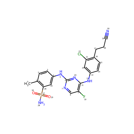 Cc1ccc(Nc2ncc(F)c(Nc3ccc(CCC#N)c(Cl)c3)n2)cc1S(N)(=O)=O